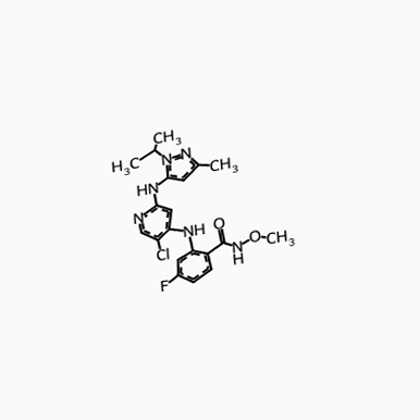 CONC(=O)c1ccc(F)cc1Nc1cc(Nc2cc(C)nn2C(C)C)ncc1Cl